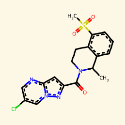 CC1c2cccc(S(C)(=O)=O)c2CCN1C(=O)c1cc2ncc(Cl)cn2n1